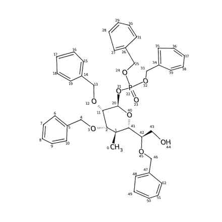 C[C@H]1[C@H](OCc2ccccc2)[C@H](OCc2ccccc2)[C@@H](OP(=O)(OCc2ccccc2)OCc2ccccc2)O[C@@H]1[C@@H](CO)OCc1ccccc1